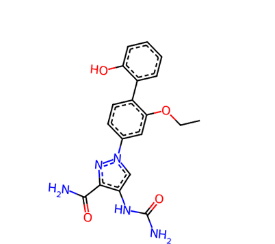 CCOc1cc(-n2cc(NC(N)=O)c(C(N)=O)n2)ccc1-c1ccccc1O